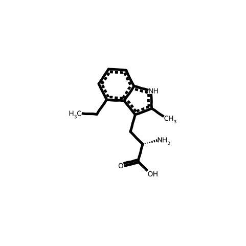 CCc1cccc2[nH]c(C)c(C[C@H](N)C(=O)O)c12